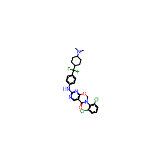 CN(C)C1CCC(C(F)(F)c2ccc(Nc3ncc4c(n3)OCN(c3c(Cl)cccc3Cl)C4=O)cc2)CC1